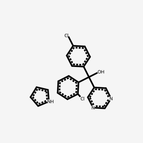 OC(c1ccc(Cl)cc1)(c1cncnc1)c1ccccc1Cl.c1cc[nH]c1